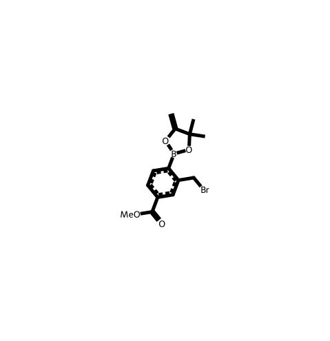 C=C1OB(c2ccc(C(=O)OC)cc2CBr)OC1(C)C